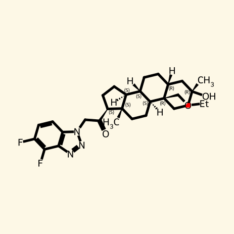 CCOC[C@]12CC[C@@](C)(O)C[C@H]1CC[C@H]1[C@@H]3CC[C@H](C(=O)Cn4nnc5c(F)c(F)ccc54)[C@@]3(C)CC[C@@H]12